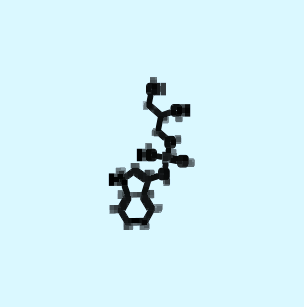 O=P(O)(OCC(O)CO)Oc1c[nH]c2ccccc12